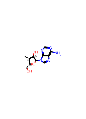 C[C@@H]1[C@@H](CO)OC(n2cnc3c(N)ncnc32)[C@@H]1O